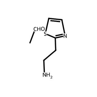 CC=O.NCCc1nccs1